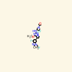 COc1nc(N[C@@H]2CN(C3COC3)CC2(F)F)nn2ccc(-c3cc(F)c4nc(C)n(CCF)c4c3)c12